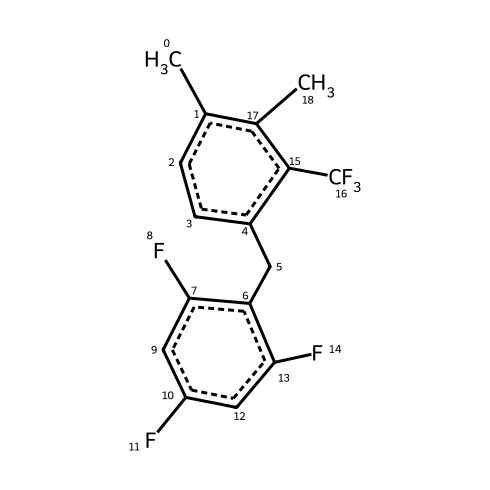 Cc1ccc(Cc2c(F)cc(F)cc2F)c(C(F)(F)F)c1C